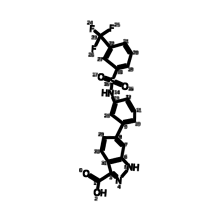 O=C(O)c1n[nH]c2cc(-c3cccc(NS(=O)(=O)c4cccc(C(F)(F)F)c4)c3)ccc12